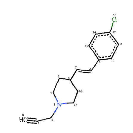 C#CCN1CCC(/C=C/c2ccc(Cl)cc2)CC1